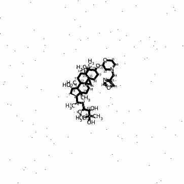 COC(C[C@@H](C)[C@H]1C[C@H](O)[C@@]2(C)C3CC[C@H]4C(C)(C)C(O[C@H]5CN(Cc6cocn6)CCO5)CCC45CC35CCC12C)C(O)C(C)(C)O